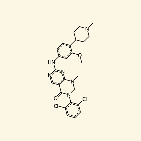 COc1cc(Nc2ncc3c(n2)N(C)CN(c2c(Cl)cccc2Cl)C3=O)ccc1C1CCN(C)CC1